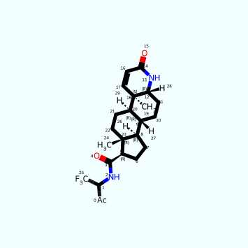 CC(=O)C(NC(=O)[C@@H]1CC[C@@H]2[C@H]3CC[C@H]4NC(=O)C=C[C@]4(C)[C@@H]3CC[C@]21C)C(F)(F)F